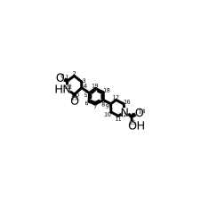 O=C1CCC(c2ccc(C3CCN(C(=O)O)CC3)cc2)C(=O)N1